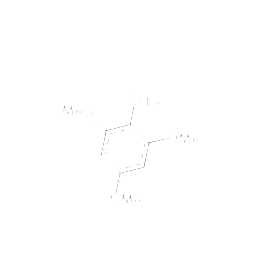 [CH2]Oc1cc(OC)c(C=O)c(OC)c1